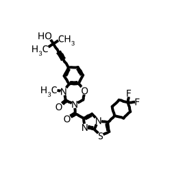 CN1C(=O)N(C(=O)c2cn3c(C4CCC(F)(F)CC4)csc3n2)COc2ccc(C#CC(C)(C)O)cc21